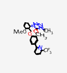 COc1cccc(-n2nnn(C)c2=O)c1COc1ccc(-c2cccc(C(F)(F)F)n2)cc1C